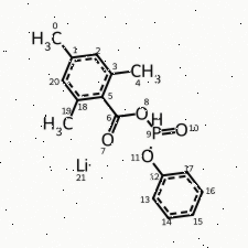 Cc1cc(C)c(C(=O)O[PH](=O)Oc2ccccc2)c(C)c1.[Li]